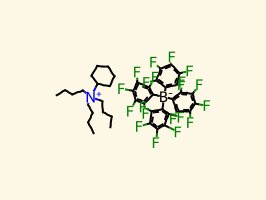 CCCC[N+](CCCC)(CCCC)C1CCCCC1.Fc1c(F)c(F)c([B-](c2c(F)c(F)c(F)c(F)c2F)(c2c(F)c(F)c(F)c(F)c2F)c2c(F)c(F)c(F)c(F)c2F)c(F)c1F